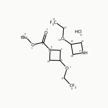 CC(C)(C)OC(=O)N1CC(OCC(F)(F)F)C1.Cl.FC(F)(F)COC1CNC1